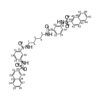 O=C(NCCCCCNC(=O)c1cccc(NS(=O)(=O)c2ccc3ccccc3c2)c1)c1cccc(NS(=O)(=O)c2ccc3ccccc3c2)c1